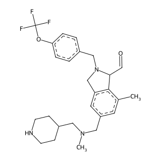 Cc1cc(CN(C)CC2CCNCC2)cc2c1C(C=O)N(Cc1ccc(OC(F)(F)F)cc1)C2